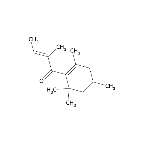 C/C=C(\C)C(=O)C1=C(C)CC(C)CC1(C)C